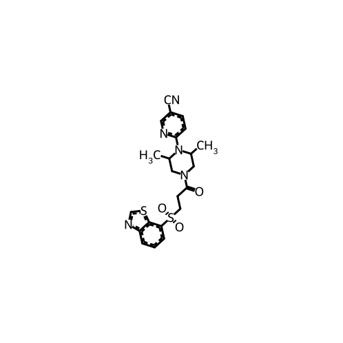 CC1CN(C(=O)CCS(=O)(=O)c2cccc3ncsc23)CC(C)N1c1ccc(C#N)cn1